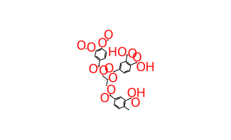 Cc1ccc(C(=O)OCC(COC(=O)c2ccc(OC=O)c(OC=O)c2)OC(=O)c2ccc(C(=O)O)c(C(=O)O)c2)cc1C(=O)O